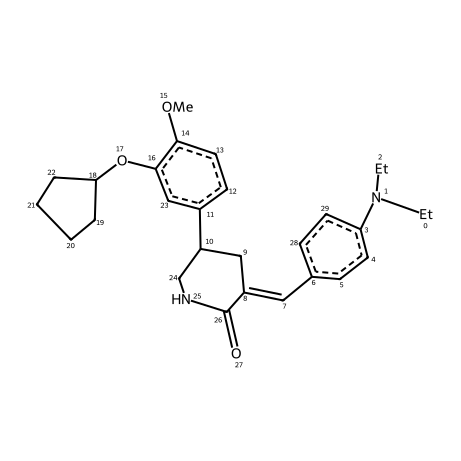 CCN(CC)c1ccc(C=C2CC(c3ccc(OC)c(OC4CCCC4)c3)CNC2=O)cc1